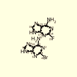 Nc1nc(Br)nc2[nH]cnc12.Nc1nc(F)nc2[nH]cnc12